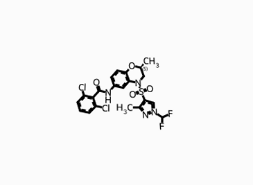 Cc1nn(C(F)F)cc1S(=O)(=O)N1C[C@H](C)Oc2ccc(NC(=O)c3c(Cl)cccc3Cl)cc21